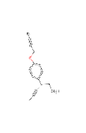 CC#C[C@@H](CC(=O)O)c1ccc(OCC#CCC)cc1